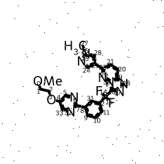 COCCOc1cnc(-c2cccc(C(F)(F)c3nnc4ccc(-c5cnn(C)c5)nn34)c2)nc1